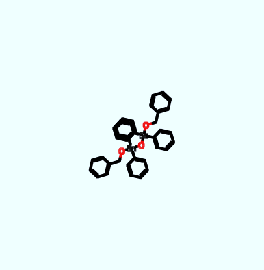 c1ccc(C[O][Sn]([O][Sn]([O]Cc2ccccc2)([c]2ccccc2)[c]2ccccc2)([c]2ccccc2)[c]2ccccc2)cc1